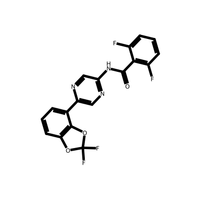 O=C(Nc1cnc(-c2cccc3c2OC(F)(F)O3)cn1)c1c(F)cccc1F